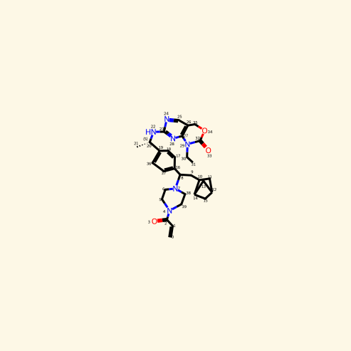 C=CC(=O)N1CCN(C(CC2CC3CC2C3)c2ccc([C@H](C)Nc3ncc4c(n3)N(CC)C(=O)OC4)cc2)CC1